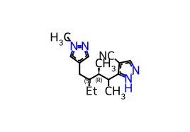 CC[C@@H](Cc1cnn(C)c1)[C@@H](C)C(C)c1[nH]ncc1C#N